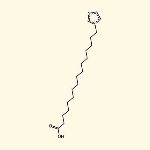 O=C(O)CCCCCCCCCCCCCCCn1ccnc1